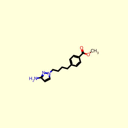 COC(=O)c1ccc(CCCCn2ccc(N)n2)cc1